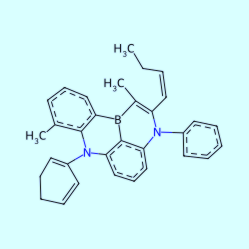 CC/C=C\C1=C(C)B2c3cccc(C)c3N(C3=CCCC=C3)c3cccc(c32)N1c1ccccc1